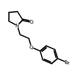 O=C1CCCN1CCOc1[c]cc(Br)cc1